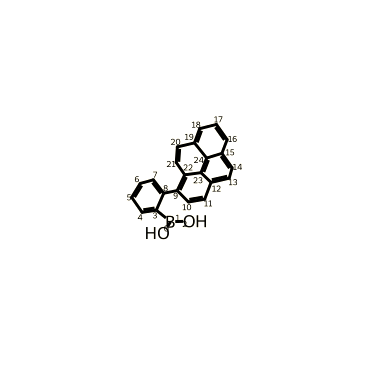 OB(O)c1ccccc1-c1ccc2ccc3cccc4ccc1c2c34